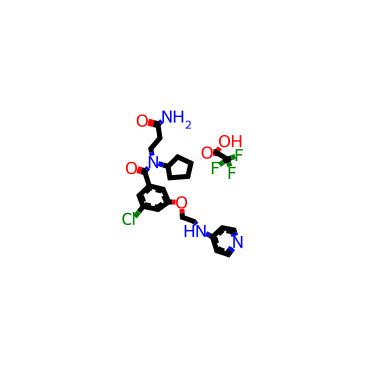 NC(=O)CCN(C(=O)c1cc(Cl)cc(OCCNc2ccncc2)c1)C1CCCC1.O=C(O)C(F)(F)F